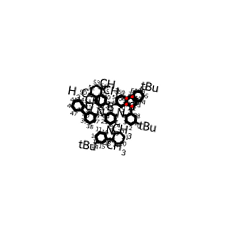 CC(C)(C)c1ccc(N2c3cc(N4c5ccc(C(C)(C)C)cc5C5(C)CCCCC45C)cc4c3B(c3cc5c(cc3N4c3cccc4c3oc3ccccc34)C(C)(C)CCC5(C)C)c3ccc4c(sc5ccc(C(C)(C)C)cc54)c32)c(-c2ccccc2)c1